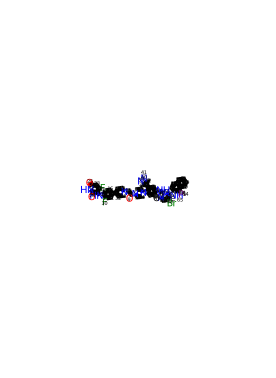 COc1cc(N2CCN(C(=O)CN3CCC(c4cc(F)c(NC5CCC(=O)NC5=O)c(F)c4)CC3)CC2)c(-c2cnn(C)c2)cc1Nc1ncc(Br)c(Nc2ccc3ccccc3c2P(C)C)n1